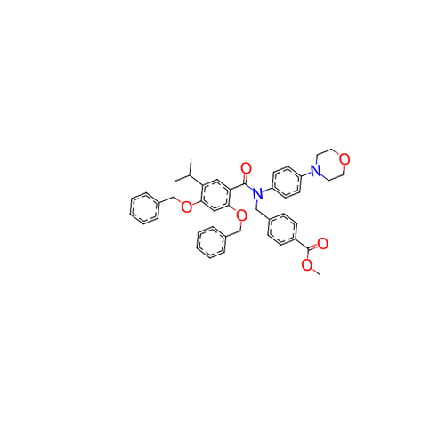 COC(=O)c1ccc(CN(C(=O)c2cc(C(C)C)c(OCc3ccccc3)cc2OCc2ccccc2)c2ccc(N3CCOCC3)cc2)cc1